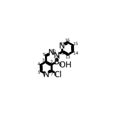 OB1c2c(ccnc2Cl)C=NN1c1ccccn1